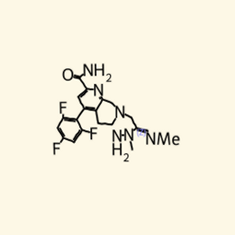 CN/C=C(/CN1CCc2c(-c3c(F)cc(F)cc3F)cc(C(N)=O)nc2C1)N(C)N